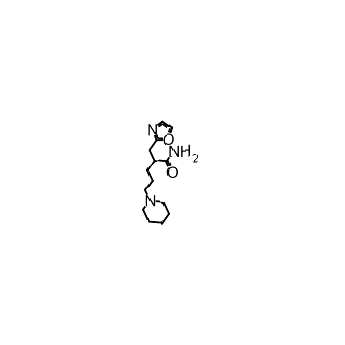 NC(=O)C(CCCN1CCCCC1)Cc1ncco1